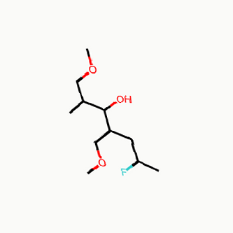 COCC(C)C(O)C(COC)CC(C)F